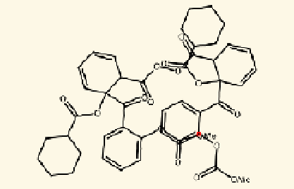 COC(=O)Oc1ccccc1C(=O)C1(OC(=O)C2CCCCC2)C=CC=CC1C(=O)OOC(=O)C1C=CC=CC1(OC(=O)C1CCCCC1)C(=O)c1ccccc1OC(=O)OC